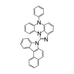 c1ccc(N2c3ccccc3-n3c(-n4c5ccccc5c5c6ccccc6ccc54)nc4cccc2c43)cc1